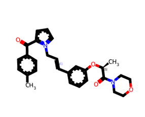 Cc1ccc(C(=O)c2cccn2C/C=C/c2cccc(O[C@@H](C)C(=O)N3CCOCC3)c2)cc1